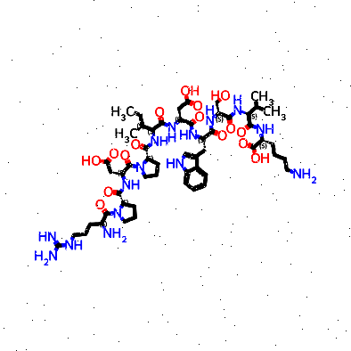 CC[C@H](C)[C@H](NC(=O)[C@@H]1CCCN1C(=O)[C@H](CC(=O)O)NC(=O)[C@@H]1CCCN1C(=O)[C@@H](N)CCCNC(=N)N)C(=O)N[C@@H](CC(=O)O)C(=O)N[C@@H](Cc1c[nH]c2ccccc12)C(=O)N[C@@H](CO)C(=O)N[C@H](C(=O)N[C@@H](CCCCN)C(=O)O)C(C)C